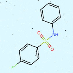 O=S(=O)(Nc1ccccc1)c1ccc(F)cc1